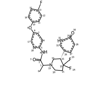 CC(C(=O)Nc1ccc(Oc2ccc(F)cc2)cn1)N1CCC(F)(F)[C@@H](c2ccc(=O)[nH]c2)C1